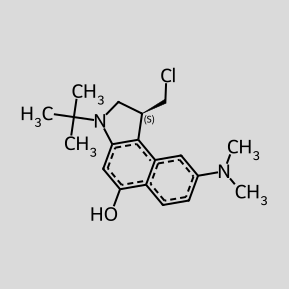 CN(C)c1ccc2c(O)cc3c(c2c1)[C@H](CCl)CN3C(C)(C)C